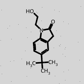 CC(C)(C)c1ccc2c(c1)CC(=O)N2CCO